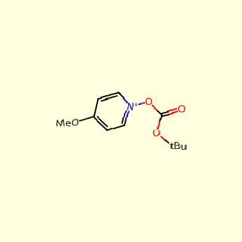 COc1cc[n+](OC(=O)OC(C)(C)C)cc1